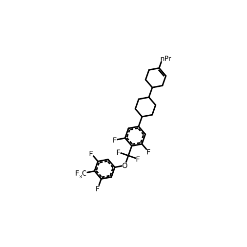 CCCC1=CCC(C2CCC(c3cc(F)c(C(F)(F)Oc4cc(F)c(C(F)(F)F)c(F)c4)c(F)c3)CC2)CC1